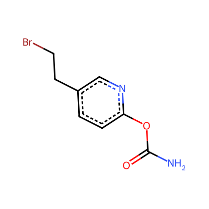 NC(=O)Oc1ccc(CCBr)cn1